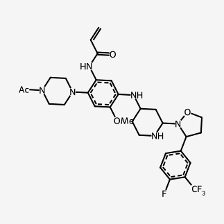 C=CC(=O)Nc1cc(NC2CCNC(N3OCCC3c3ccc(F)c(C(F)(F)F)c3)C2)c(OC)cc1N1CCN(C(C)=O)CC1